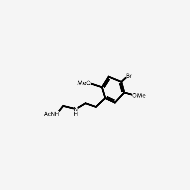 COc1cc(CCNCNC(C)=O)c(OC)cc1Br